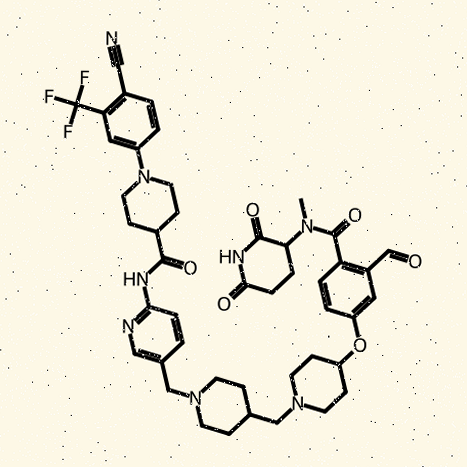 CN(C(=O)c1ccc(OC2CCN(CC3CCN(Cc4ccc(NC(=O)C5CCN(c6ccc(C#N)c(C(F)(F)F)c6)CC5)nc4)CC3)CC2)cc1C=O)C1CCC(=O)NC1=O